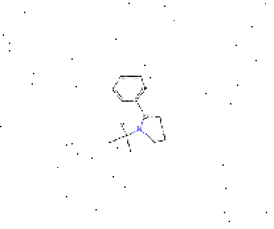 CC(C)(C)N1CCCB1c1ccccc1